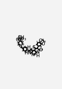 Cc1c(-c2ccc3c(c2)OCCO3)c(=O)[nH]c2cnc3[nH]c(-c4ccc(CN5CCC(S(C)(=O)=O)CC5)cc4)cc3c12